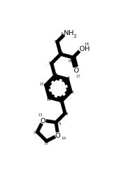 NCC(Cc1ccc(CC2OCCO2)cc1)C(=O)O